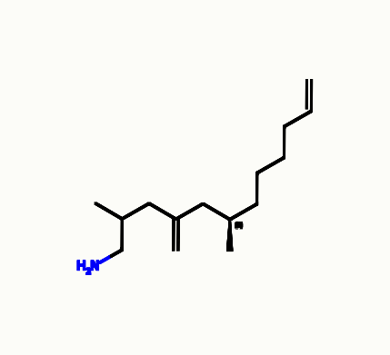 C=CCCCC[C@@H](C)CC(=C)CC(C)CN